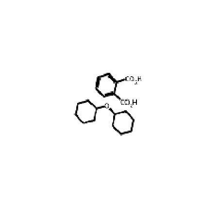 C1CCC(OC2CCCCC2)CC1.O=C(O)c1ccccc1C(=O)O